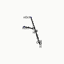 CCCCCCCC/C=C\CCCCCCCCOCC(COC(=O)NCCOCCOCCNC(=O)c1c[nH]cn1)OCCCCCCCC/C=C\CCCCCCCC